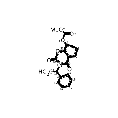 COC(=O)Oc1cccc2c(=O)n(C(C(=O)O)c3ccccc3)c(=O)oc12